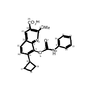 COc1nc2c(OC(=O)Nc3ccccc3)c(C3CCC3)ccc2cc1C(=O)O